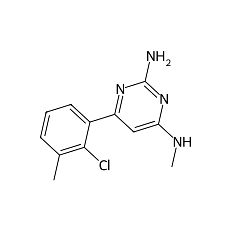 CNc1cc(-c2cccc(C)c2Cl)nc(N)n1